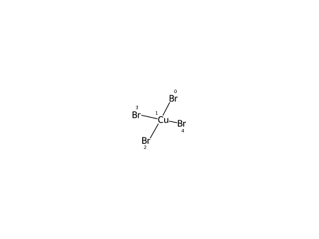 [Br][Cu]([Br])([Br])[Br]